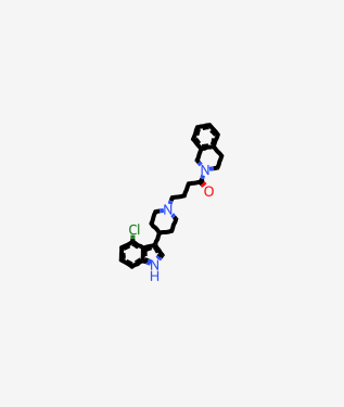 O=C(CCCN1CCC(c2c[nH]c3cccc(Cl)c23)CC1)N1CCc2ccccc2C1